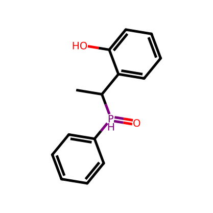 CC(c1ccccc1O)[PH](=O)c1ccccc1